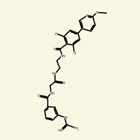 COc1ccc(-c2cc(Cl)c(C(=O)NCCNC(=O)CNC(=O)c3cccc(NC(=N)N)c3)c(Cl)c2)cn1